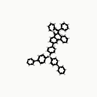 c1ccc(-c2ccc(N(c3ccc(-c4ccccc4)cc3)c3ccc(-c4ccc5c(c4)c4ccccc4c4c(-c6ccccc6)c6ccccn6c54)cc3)cc2)cc1